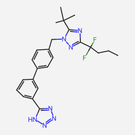 CCCC(F)(F)c1nc(C(C)(C)C)n(Cc2ccc(-c3cccc(-c4nnn[nH]4)c3)cc2)n1